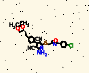 CC1(C)OC[C@@H](CCc2ccc(-c3c(C#N)c(N)nc(SCc4coc(-c5ccc(Cl)cc5)n4)c3C#N)cc2)O1